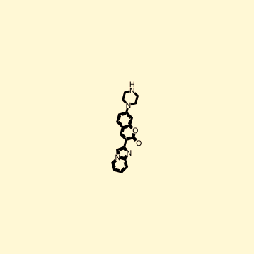 O=c1oc2cc(N3CCNCC3)ccc2cc1-c1cn2ccccc2n1